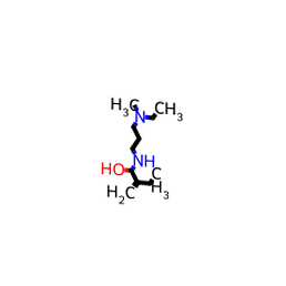 C=C(CC)C(O)NCCCN(C)CC